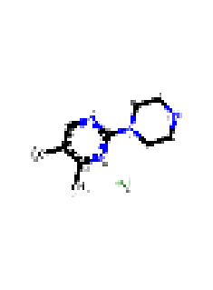 Cc1cnc(N2CCNCC2)nc1C.Cl